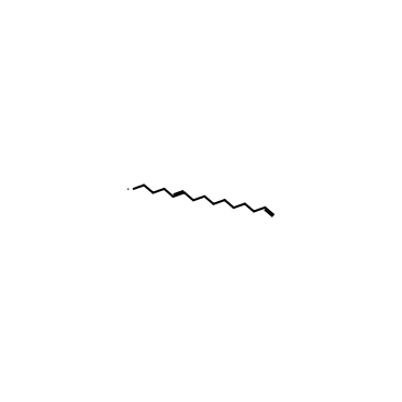 [CH2]CCCC=CCCCCCCCC=C